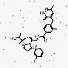 Cc1cc(Cc2ccc(C(=O)NCC(=O)N3[C@H](C4(C)C=C(F)C=CC4)CC[C@@H]3C(C)(C)C(C)O)cc2C)c(=O)[nH]n1